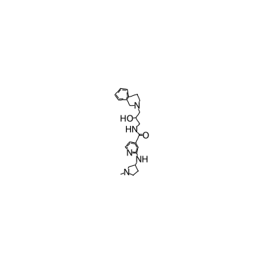 CN1CCC(Nc2cc(C(=O)NCC(O)CN3CCc4ccccc4C3)ccn2)C1